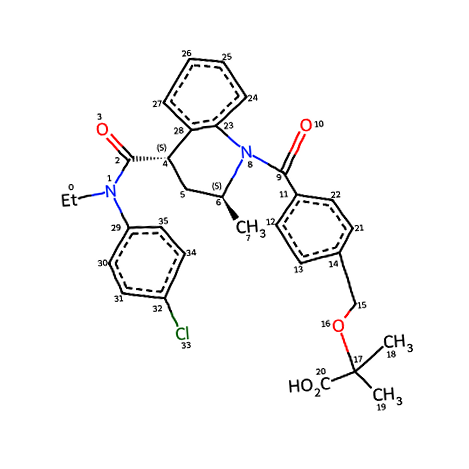 CCN(C(=O)[C@H]1C[C@H](C)N(C(=O)c2ccc(COC(C)(C)C(=O)O)cc2)c2ccccc21)c1ccc(Cl)cc1